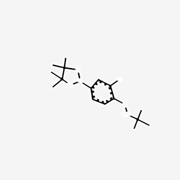 CC(C)(C)NSc1ccc(B2OC(C)(C)C(C)(C)O2)cc1Br